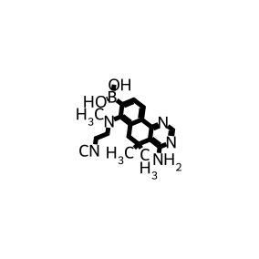 CN(CCC#N)c1c(B(O)O)ccc2c1CC(C)(C)c1c(N)ncnc1-2